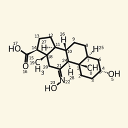 C[C@]12CC[C@@H](O)C[C@@H]1CC[C@H]1[C@@H]3CC[C@H](C(=O)O)[C@@]3(C)CC(=NO)[C@@H]12